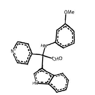 COc1cccc(NC(C=O)(c2ccncc2)c2c[nH]c3ccccc23)c1